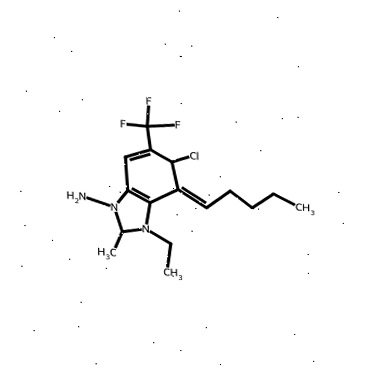 CCCCC=C1C2=C(C=C(C(F)(F)F)C1Cl)N(N)C(C)N2CC